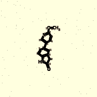 COc1ccc(-c2ccc3c(c2)CC(=O)N3)cn1